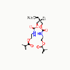 C=C(C)C(=O)OCCNC(=O)OCC(CC)(COC)COC(=O)NCCOC(=O)C(=C)C